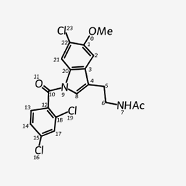 COc1cc2c(CCNC(C)=O)cn(C(=O)c3ccc(Cl)cc3Cl)c2cc1Cl